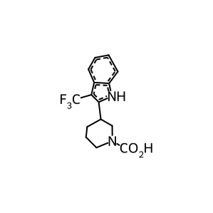 O=C(O)N1CCCC(c2[nH]c3ccccc3c2C(F)(F)F)C1